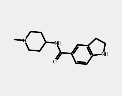 CN1CCC(NC(=O)c2ccc3c(c2)CCN3)CC1